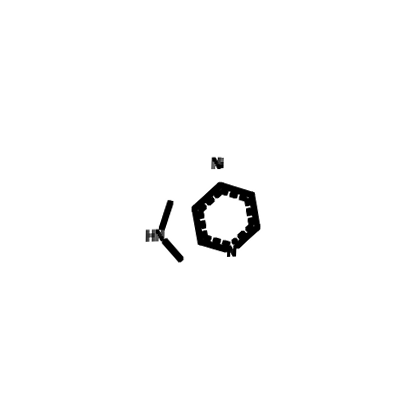 CNC.[N].c1ccncc1